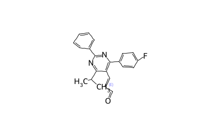 CC(C)c1nc(-c2ccccc2)nc(-c2ccc(F)cc2)c1/C=C/C=O